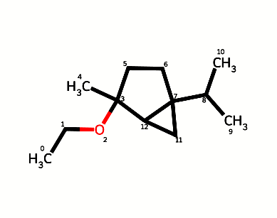 CCOC1(C)CCC2(C(C)C)CC12